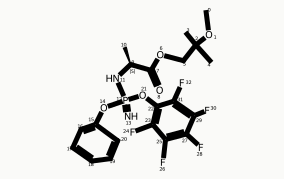 COC(C)(C)COC(=O)[C@H](C)NP(=N)(Oc1ccccc1)Oc1c(F)c(F)c(F)c(F)c1F